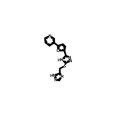 c1cncc(-c2ccc(-c3nnc(SCc4ncn[nH]4)[nH]3)o2)c1